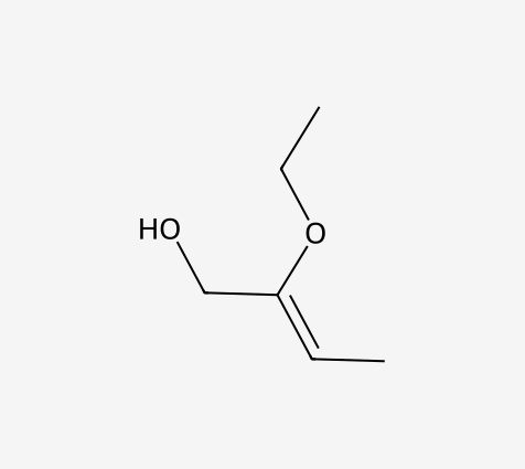 CC=C(CO)OCC